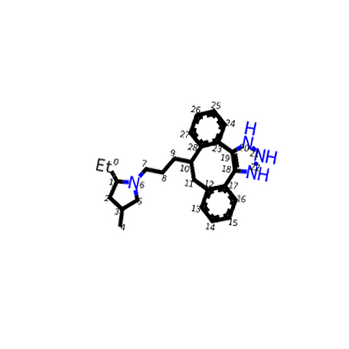 CCC1CC(C)CN1CCCC1Cc2ccccc2C2=C(NNN2)c2ccccc21